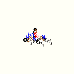 C=C(CCSc1nnc(C)s1)C(C(=O)O)N1C(=O)C(NC(=O)Cc2cccs2)C1SSc1nc2ccccc2s1